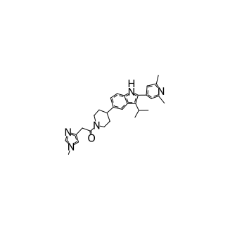 Cc1cc(-c2[nH]c3ccc(C4CCN(C(=O)Cc5cn(C)cn5)CC4)cc3c2C(C)C)cc(C)n1